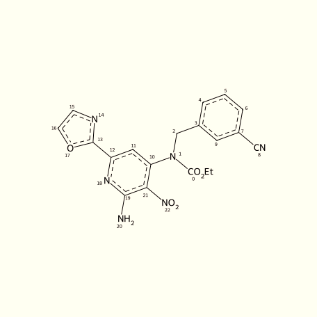 CCOC(=O)N(Cc1cccc(C#N)c1)c1cc(-c2ncco2)nc(N)c1[N+](=O)[O-]